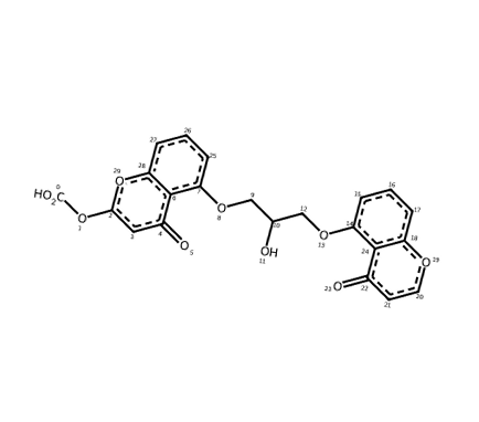 O=C(O)Oc1cc(=O)c2c(OCC(O)COc3cccc4occc(=O)c34)cccc2o1